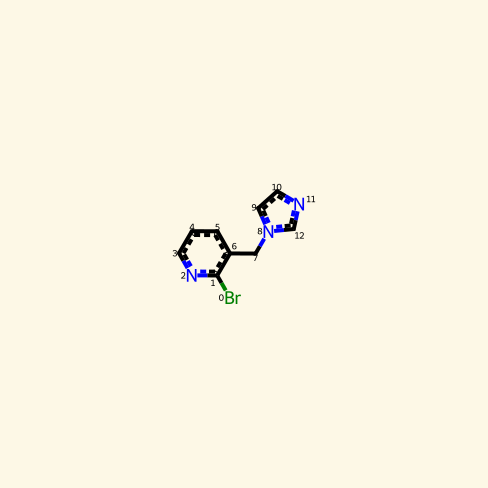 Brc1ncccc1Cn1ccnc1